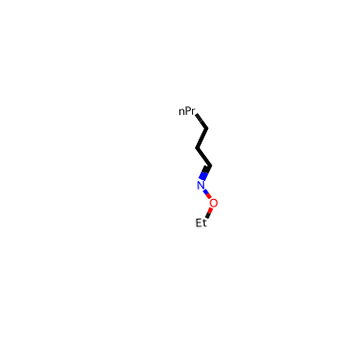 [CH2]CCCCC=NOCC